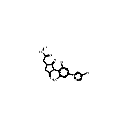 CCc1cc(-n2cc(Cl)cn2)cc(C)c1C1C(=O)CC(CC(=O)NC(C)C)C1=O